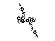 N#Cc1ccc(OCCCN2CCC(C3(C4CCCC4)NCCc4cc(C5CCC(C6(C7CCN(CC8CN(c9ccc(C#N)nc9)C8)CC7)NCCc7ccccc76)C5)ccc43)C2)cc1